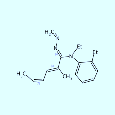 C=N/N=C(/C(C)=C/C=C\C)N(CC)c1ccccc1CC